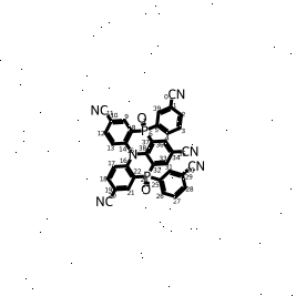 N#Cc1cccc(P2(=O)c3cc(C#N)ccc3N3c4ccc(C#N)cc4P(=O)(c4cccc(C#N)c4)c4cc(C#N)cc2c43)c1